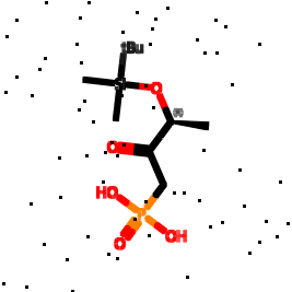 C[C@H](O[Si](C)(C)C(C)(C)C)C(=O)CP(=O)(O)O